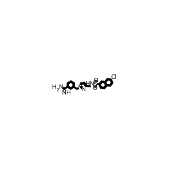 N=C(N)c1cccc(Cn2ccc(CNS(=O)(=O)c3ccc4ccc(Cl)cc4c3)n2)c1